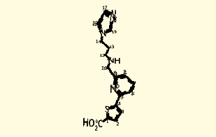 O=C(O)c1ccc(-c2cccc(CNCCCn3ccnc3)n2)s1